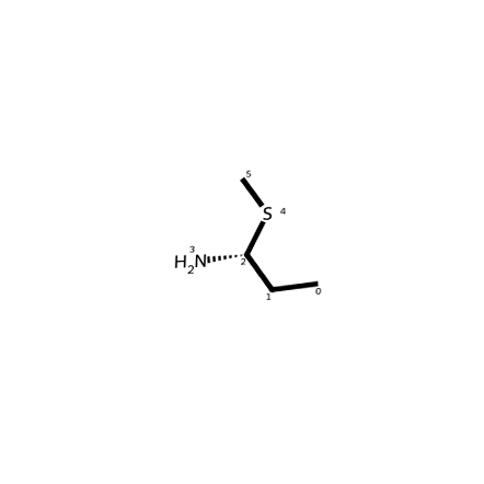 CC[C@H](N)SC